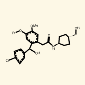 COc1cc(CC(=O)N[C@H]2CC[C@H](CO)CC2)c(C(O)c2ccc(Cl)cc2)cc1OC(C)C